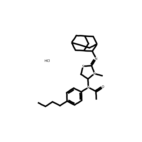 CCCCc1ccc(N(C(C)=O)C2CSC(=NC3C4CC5CC(C4)CC3C5)N2C)cc1.Cl